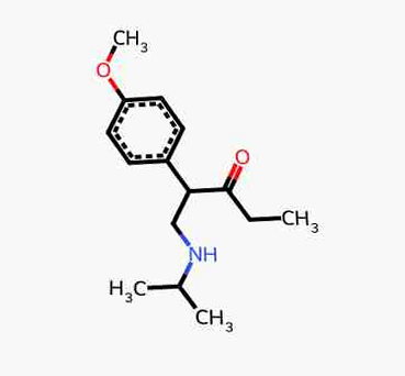 CCC(=O)C(CNC(C)C)c1ccc(OC)cc1